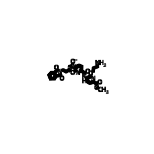 COC(=O)c1ccc(NC(=O)c2ccc([N+](=O)[O-])c(OCCCN3C(=O)c4ccccc4C3=O)n2)c(OCCCN)n1